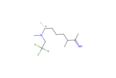 CC(=N)C(C)CCC[C@@H](C)N(C)CC(F)(F)F